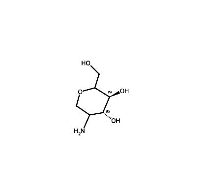 NC1COC(CO)[C@@H](O)[C@@H]1O